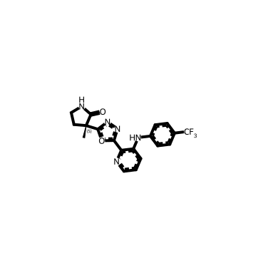 C[C@@]1(c2nnc(-c3ncccc3Nc3ccc(C(F)(F)F)cc3)o2)CCNC1=O